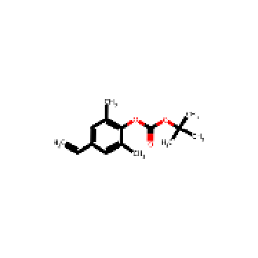 C=Cc1cc(C)c(OC(=O)OC(C)(C)C)c(C)c1